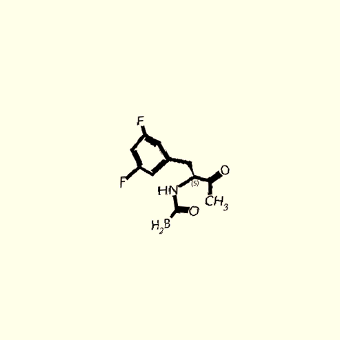 BC(=O)N[C@@H](Cc1cc(F)cc(F)c1)C(C)=O